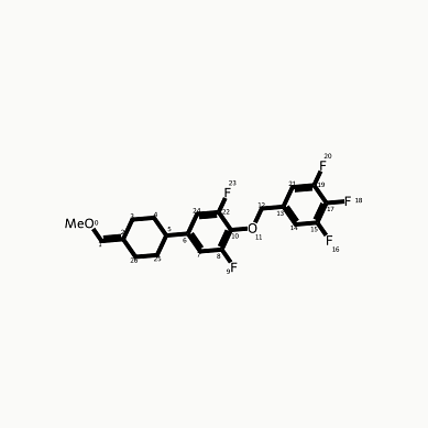 COC=C1CCC(c2cc(F)c(OCc3cc(F)c(F)c(F)c3)c(F)c2)CC1